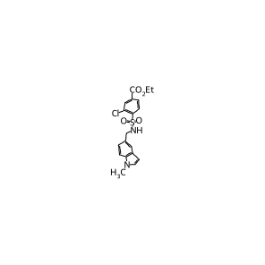 CCOC(=O)c1ccc(S(=O)(=O)NCc2ccc3c(ccn3C)c2)c(Cl)c1